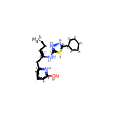 CC/C=C(/Cc1cccc(O)n1)Nc1nnc(C2CCCCC2)s1